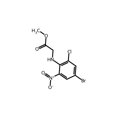 COC(=O)CNc1c(Cl)cc(Br)cc1[N+](=O)[O-]